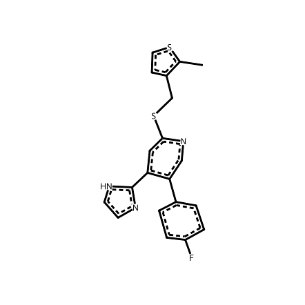 Cc1sccc1CSc1cc(-c2ncc[nH]2)c(-c2ccc(F)cc2)cn1